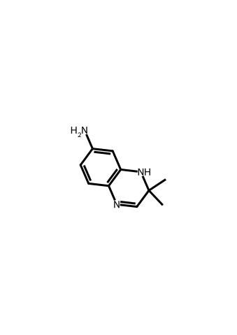 CC1(C)C=Nc2ccc(N)cc2N1